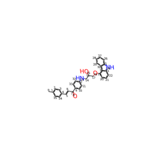 Cc1ccc(C=CC(=O)c2ccc(NCC(O)COc3cccc4[nH]c5ccccc5c34)cc2)cc1